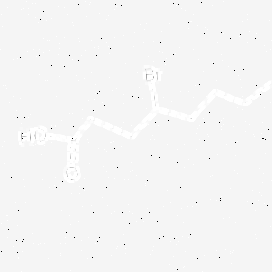 CCCCC(Br)CCC(=O)O